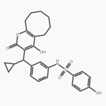 O=c1oc2c(c(O)c1C(c1cccc(NS(=O)(=O)c3ccc(O)cc3)c1)C1CC1)CCCCCC2